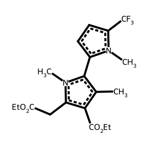 CCOC(=O)Cc1c(C(=O)OCC)c(C)c(-c2ccc(C(F)(F)F)n2C)n1C